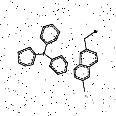 Cc1ccc2cc(CBr)ccc2c1.c1ccc(P(c2ccccc2)c2ccccc2)cc1